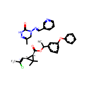 CC1(C)[C@H](C(=O)OC(C#N)c2cccc(Oc3ccccc3)c2)[C@@H]1/C=C(\Cl)C(F)(F)F.CC1=NNC(=O)N(/N=C/c2cccnc2)C1